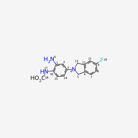 Nc1cc(N2Cc3ccc(F)cc3C2)ccc1NC(=O)O